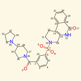 O=C(c1cccc(S(=O)(=O)N2CCc3c([nH]c(=O)c4ccccc34)C2)c1)N1CCC(N2CCCC2)CC1